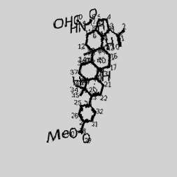 C=C(C)[C@@H]1CC[C@]2(C(=O)NC=O)CC[C@]3(C)[C@H](CC[C@@H]4[C@@]5(C)CC=C(c6ccc(C(=O)OC)cc6)C(C)(C)[C@@H]5CC[C@]43C)[C@@H]12